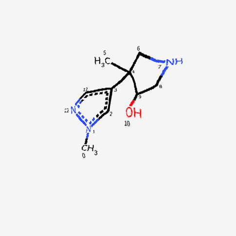 Cn1cc(C2(C)CNCC2O)cn1